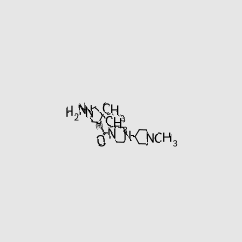 CN1CCC(N2CCN(C(=O)[C@H]3CN(N)CC3(C)C)CC2)CC1